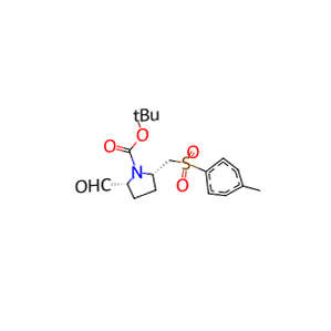 Cc1ccc(S(=O)(=O)C[C@@H]2CC[C@H](C=O)N2C(=O)OC(C)(C)C)cc1